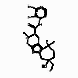 C[C@@H]1Cc2nn3c(c2CN1C(=O)Nc1ccnc(Br)c1F)C(F)(F)CCC(O)(CF)C3